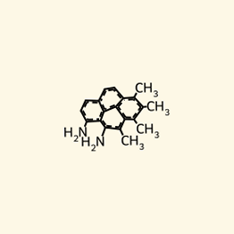 Cc1c(C)c2ccc3ccc(N)c4c(N)c(C)c(c1C)c2c34